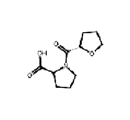 O=C(O)C1CCCN1C(=O)[C@@H]1CCCO1